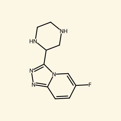 Fc1ccc2nnc(C3CNCCN3)n2c1